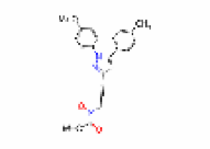 COC(=O)N(O)CC#Cc1cc(-c2ccc(C)cc2)n(-c2ccc(OC)cc2)n1